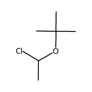 CC(Cl)OC(C)(C)C